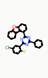 Fc1ccc(Cl)cc1-c1nc(-c2ccccc2)nc(-c2cccc3oc4ccccc4c23)n1